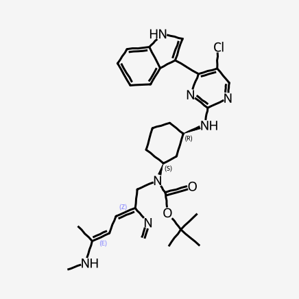 C=N/C(=C\C=C(/C)NC)CN(C(=O)OC(C)(C)C)[C@H]1CCC[C@@H](Nc2ncc(Cl)c(-c3c[nH]c4ccccc34)n2)C1